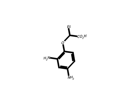 CCC(Oc1ccc(N)cc1N)C(=O)O